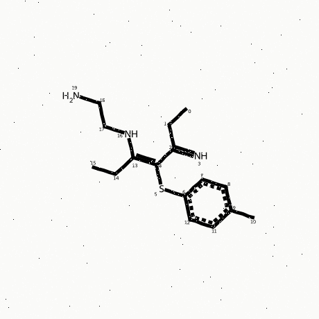 CCC(=N)/C(Sc1ccc(C)cc1)=C(/CC)NCCN